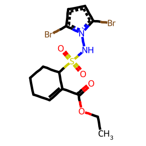 CCOC(=O)C1=CCCCC1S(=O)(=O)Nn1c(Br)ccc1Br